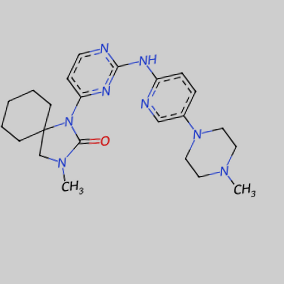 CN1CCN(c2ccc(Nc3nccc(N4C(=O)N(C)CC45CCCCC5)n3)nc2)CC1